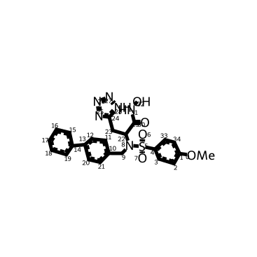 COc1ccc(S(=O)(=O)N(Cc2ccc(-c3ccccc3)cc2)C(Cc2nnn[nH]2)C(=O)NO)cc1